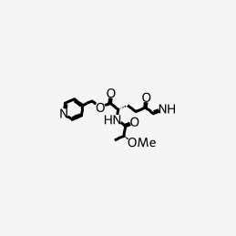 CO[C@H](C)C(=O)N[C@@H](CCC(=O)C=N)C(=O)OCc1ccncc1